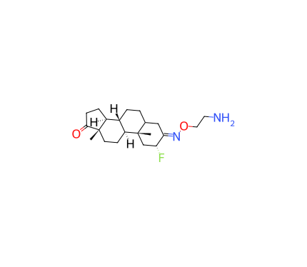 C[C@]12C[C@@H](F)/C(=N/OCCN)CC1CC[C@@H]1[C@@H]2CC[C@]2(C)C(=O)CC[C@@H]12